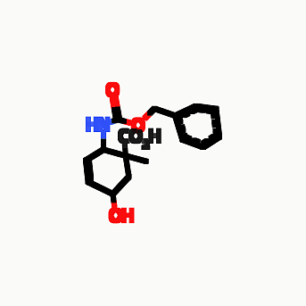 CC1(C(=O)O)CC(O)C=CC1NC(=O)OCc1ccccc1